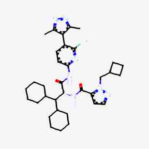 Cc1n[nH]c(C)c1-c1ccc(NC(=O)[C@@H](NC(=O)c2ccnn2CC2CCC2)C(C2CCCCC2)C2CCCCC2)nc1F